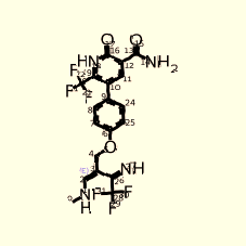 CN/C=C(/COc1ccc(-c2cc(C(N)=O)c(=O)[nH]c2C(F)(F)F)cc1)C(=N)C(F)(F)F